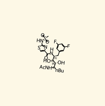 CCCC[C@@H](NC(C)=O)[C@@H](O)[C@H](O)[C@H](Cc1cc(F)cc(F)c1)NC(=O)c1csc(NS(C)(=O)=O)n1